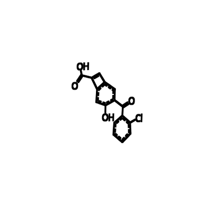 O=C(O)C1=Cc2cc(C(=O)c3ccccc3Cl)c(O)cc21